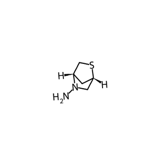 NN1C[C@@H]2C[C@H]1CS2